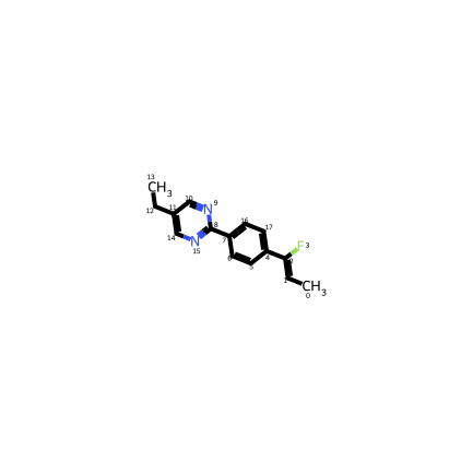 C/C=C(\F)c1ccc(-c2ncc(CC)cn2)cc1